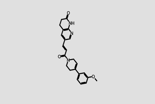 COc1cccc(C2=CCN(C(=O)/C=C/c3cnc4c(c3)CCC(=O)N4)CC2)c1